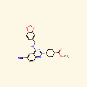 COC(=O)[C@H]1CC[C@H](c2nc(NCc3ccc4c(c3)OCO4)c3cc(C#N)ccc3n2)CC1